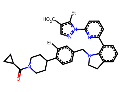 CCc1cc(CN2CCc3cccc(-c4cccc(-n5ncc(C(=O)O)c5CC)n4)c32)ccc1C1CCN(C(=O)C2CC2)CC1